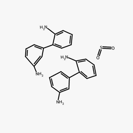 Nc1cccc(-c2ccccc2N)c1.Nc1cccc(-c2ccccc2N)c1.O=S=O